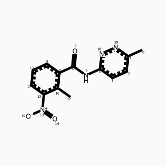 Cc1ccc(NC(=O)c2cccc([N+](=O)[O-])c2C)nn1